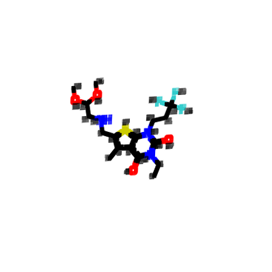 CCn1c(=O)c2c(C)c(CNCC(OC)OC)sc2n(CCC(F)(F)F)c1=O